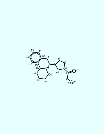 CC(=O)CC(=O)C1CCC(CCc2ccccc2C2CCCCC2)C1